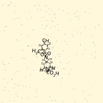 Cc1ccc(S(=O)(=O)N2CC3(C[C@H]4CC[C@@H](C3)N4C(=O)O)C2)c(C)c1